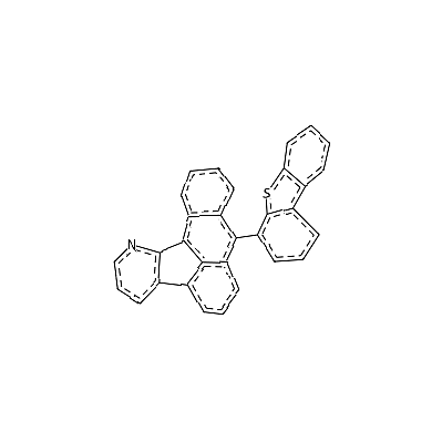 c1cnc2c(c1)-c1cccc3c(-c4cccc5c4sc4ccccc45)c4ccccc4c-2c13